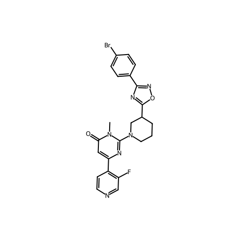 Cn1c(N2CCCC(c3nc(-c4ccc(Br)cc4)no3)C2)nc(-c2ccncc2F)cc1=O